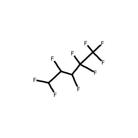 FC(F)C(F)C(F)C(F)(F)C(F)(F)F